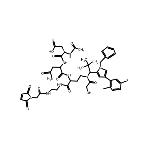 CC(=O)N[C@H](CC(=O)O)C(=O)NC(CC(N)=O)C(=O)NC(CCN(C(=O)CO)C(c1cc(-c2cc(F)ccc2F)cn1Cc1ccccc1)C(C)(C)C)C(=O)NCCNC(=O)CN1C(=O)C=CC1=O